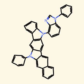 c1ccc(-n2cnc3c(-n4c5ccccc5c5cc6c(cc54)c4cc5ccccc5cc4n6-c4ccccc4)cccc32)cc1